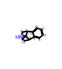 CC1(C)C2CNCC1c1ccccc12